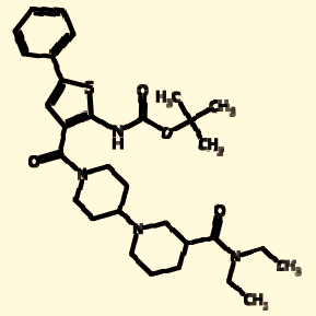 CCN(CC)C(=O)C1CCCN(C2CCN(C(=O)c3cc(-c4ccccc4)sc3NC(=O)OC(C)(C)C)CC2)C1